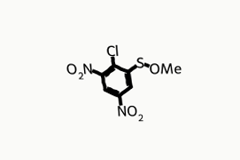 COSc1cc([N+](=O)[O-])cc([N+](=O)[O-])c1Cl